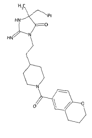 CC(C)CC1(C)NC(=N)N(CCC2CCN(C(=O)c3ccc4c(c3)CCCO4)CC2)C1=O